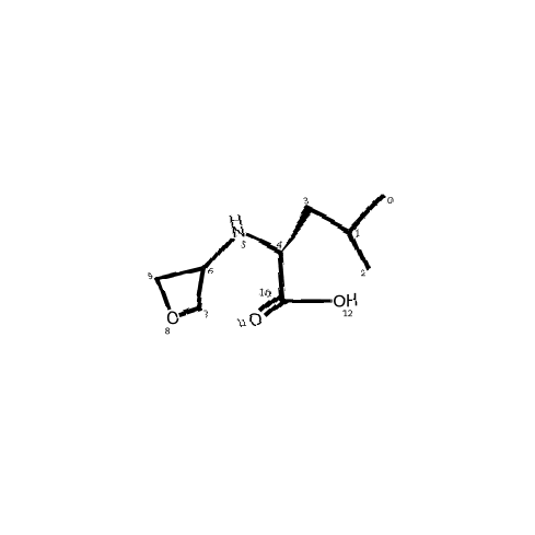 CC(C)C[C@H](NC1COC1)C(=O)O